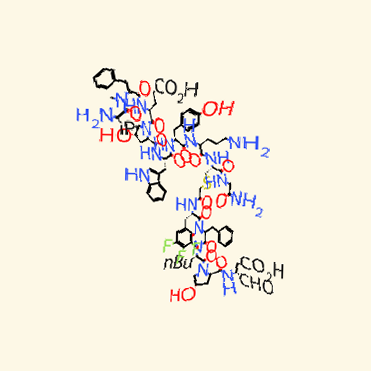 CCCC[C@@H](C(=O)N1C[C@H](O)C[C@@H]1C(=O)N[C@H](C=O)CC(=O)O)N(C)C(=O)C(Cc1ccccc1)N(C)C(=O)[C@H](Cc1cc(F)c(F)c(F)c1)NC(=O)CSC[C@H](NC(=O)[C@H](CCCN)NC(=O)[C@H](Cc1ccc(O)cc1)NC(=O)[C@H](Cc1c[nH]c2ccccc12)NC(=O)[C@H]1C[C@H](O)CN1C(=O)[C@H](CCC(=O)O)NC(=O)C(Cc1ccccc1)N(C)C(=O)[C@@H](N)C(C)C)C(=O)NCC(N)=O